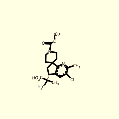 Cc1nc2c(cc1Cl)[C@H](C(C)(C)C(=O)O)CC21CCN(C(=O)OC(C)(C)C)CC1